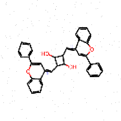 OC1C(/C=C2\C=C(c3ccccc3)Oc3ccccc32)C(O)C1/C=C1\C=C(c2ccccc2)Oc2ccccc21